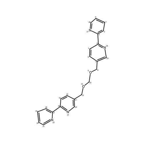 c1ccc(-c2ccc(COCOCc3ccc(-c4ccccn4)nc3)cn2)nc1